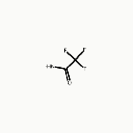 [NH]C(=O)C(F)(F)F